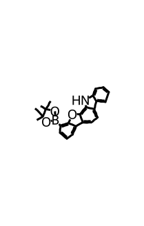 CC1(C)OB(c2cccc3c2oc2c3ccc3c4ccccc4[nH]c32)OC1(C)C